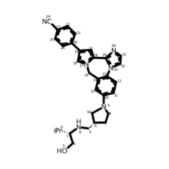 CC(C)[C@@H](CO)NC[C@H]1CCN(c2ccc3c(c2)Cn2cc(-c4ccc(C#N)cc4)cc2-c2nccn2-3)C1